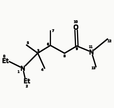 CCN(CC)C(C)(C)C(C)CC(=O)N(C)C